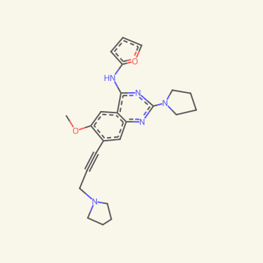 COc1cc2c(Nc3ccco3)nc(N3CCCC3)nc2cc1C#CCN1CCCC1